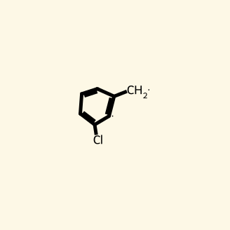 [CH2]c1[c]c(Cl)ccc1